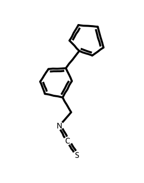 S=C=NCc1cccc(-c2ccccc2)c1